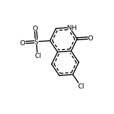 O=c1[nH]cc(S(=O)(=O)Cl)c2ccc(Cl)cc12